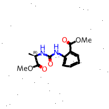 COC(=O)c1ccccc1NC(=O)N[C@H](C)C(=O)OC